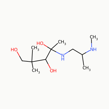 CNC(C)CNC(C)(O)C(O)C(C)(C)CO